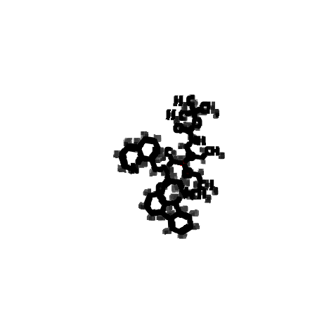 CCOC(OCC)[C@H](C)N(Cc1cccc2cccnc12)C(=O)[C@H](CCCCNC(=O)OC(C)(C)C)N(C)C1c2ccccc2-c2ccccc21